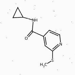 CSc1cc(C(=O)NC2CC2)ccn1